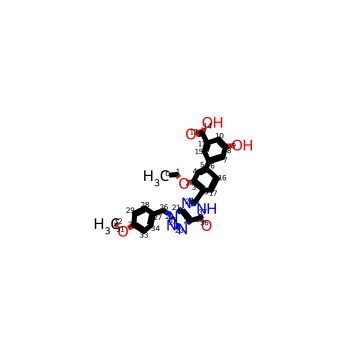 CCOc1cc(-c2cc(O)cc(C(=O)O)c2)ccc1-c1nc2c(nnn2Cc2ccc(OC)cc2)c(=O)[nH]1